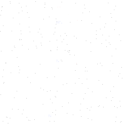 CS(=O)(=O)Nc1ccc2oc(-c3ccc(CN)cc3)nc2c1